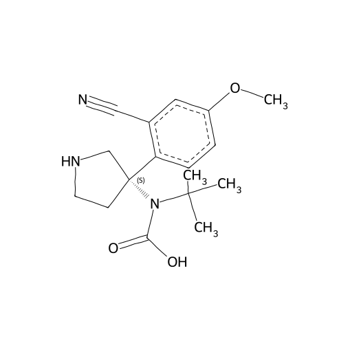 COc1ccc([C@@]2(N(C(=O)O)C(C)(C)C)CCNC2)c(C#N)c1